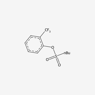 CCCCS(=O)(=O)Oc1ccccc1C(F)(F)F